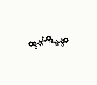 O=c1c2ccccc2sn1-c1nnc(NCc2cccc(CNc3nnc(-n4sc5ccccc5c4=O)s3)c2)s1